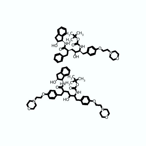 CC(C)(C)OC(=O)NC(Cc1ccc(OCCN2CCOCC2)cc1)C(O)CC(Cc1ccc(OCCN2CCOCC2)cc1)C(=O)N[C@H]1c2ccccc2C[C@H]1O.CC(C)(C)OC(=O)N[C@@H](Cc1ccc(OCCN2CCOCC2)cc1)[C@@H](O)C[C@@H](Cc1ccccc1)C(=O)N[C@H]1c2ccccc2C[C@H]1O